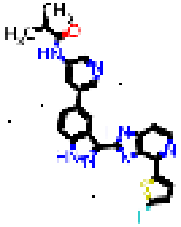 CC(C)C(=O)Nc1cncc(-c2ccc3[nH]nc(-c4nc5c(-c6ccc(F)s6)nccc5[nH]4)c3c2)c1